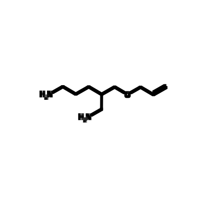 C=CCOCC(CN)CCCN